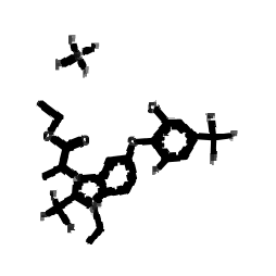 CCOC(=O)C(C)n1c(C(F)(F)F)[n+](CC)c2ccc(Oc3c(F)cc(C(F)(F)F)cc3Cl)cc21.F[B-](F)(F)F